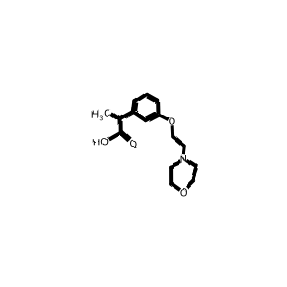 CC(C(=O)O)c1cccc(OCCN2CCOCC2)c1